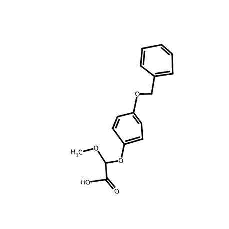 COC(Oc1ccc(OCc2ccccc2)cc1)C(=O)O